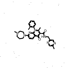 Cc1cnc(CNC(=O)c2c(C)n(-c3ccccc3C)c3nc(N4CCCN(C)CC4)ccc3c2=O)cn1